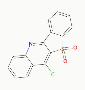 O=S1(=O)c2ccccc2-c2nc3ccccc3c(Cl)c21